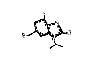 CC(C)n1c(Cl)nc2c(F)cc(Br)cc21